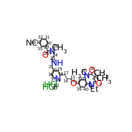 CCN1C(=O)C(C)(C)C(=O)N(C)c2cc(OCCCc3cc(CNCCN(C)C(=O)c4cccc(C#N)c4)ccn3)ccc21.Cl.Cl